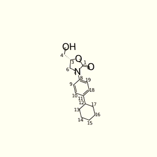 O=C1O[C@@H](CO)CN1c1ccc(C2CCCCC2)cc1